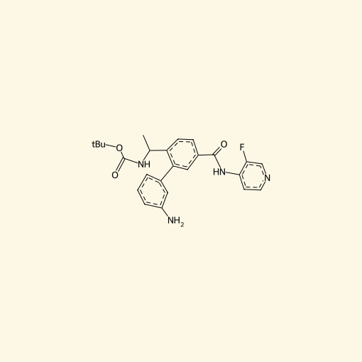 CC(NC(=O)OC(C)(C)C)c1ccc(C(=O)Nc2ccncc2F)cc1-c1cccc(N)c1